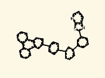 c1cc(-c2ccc(-c3ccc4c5ccccc5c5ccccc5c4c3)cc2)cc(-c2cccc(-c3nc4cccnc4s3)c2)c1